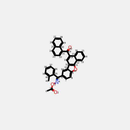 CC(=O)O/N=C(/c1ccc2oc3c4ccccc4c(C(=O)c4cccc5ccccc45)cc3c2c1)c1ccccc1C